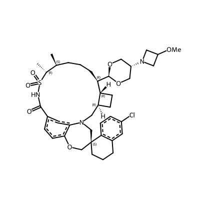 COC1CN([C@H]2CO[C@H]([C@@H]3CCC[C@H](C)[C@@H](C)S(=O)(=O)NC(=O)c4ccc5c(c4)N(C[C@@H]4CC[C@H]43)C[C@@]3(CCCc4cc(Cl)ccc43)CO5)OC2)C1